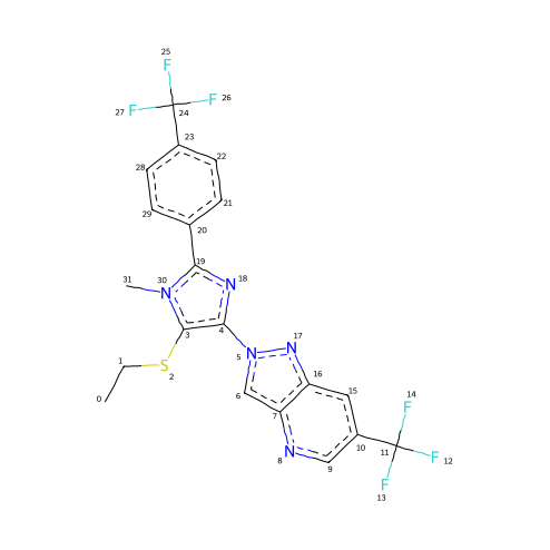 CCSc1c(-n2cc3ncc(C(F)(F)F)cc3n2)nc(-c2ccc(C(F)(F)F)cc2)n1C